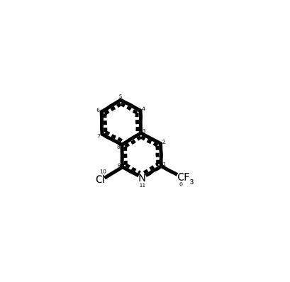 FC(F)(F)c1cc2ccccc2c(Cl)n1